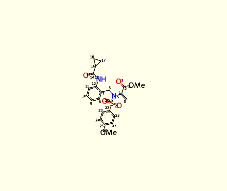 C=C(C(=O)OC)N(Cc1ccccc1NC(=O)C1CC1)S(=O)(=O)c1ccc(OC)cc1